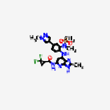 Cc1nc2c(Nc3ccc(-c4cnn(C)c4)cc3N(C)S(C)(=O)=O)cc(NC(=O)C3CC3(F)F)nc2[nH]1